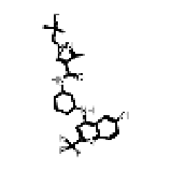 Cc1nn(CC(C)(C)F)cc1C(=O)N[C@@H]1CCC[C@H](Nc2cc(C(F)(F)F)nc3ccc(Cl)cc23)C1